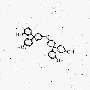 Oc1ccc(C2(c3cccc(O)c3)C=CC(OC3=CCC(c4ccc(O)cc4)(c4cccc(O)c4)C=C3)=CC2)cc1